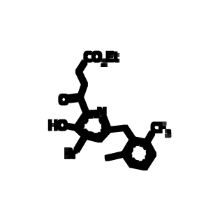 CCOC(=O)CCC(=O)c1nc(Cc2c(C)cccc2C(F)(F)F)cc(Br)c1O